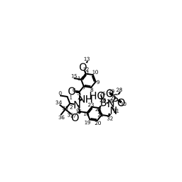 CCC(N(NC(=O)c1cccc(OC)c1C)C(=O)c1ccc2c(c1)B(O)N(S(C)(=O)=O)N=C2)C(C)(C)C